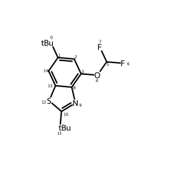 CC(C)(C)c1cc(OC(F)F)c2nc(C(C)(C)C)sc2c1